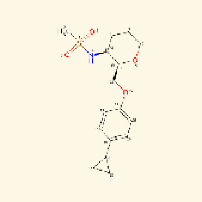 CS(=O)(=O)N[C@H]1CCCO[C@H]1COc1ccc(C2CC2)cc1